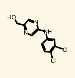 OCc1cnc(Nc2ccc(Cl)c(Cl)c2)cn1